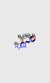 CC[C@H](C)[C@H](N)C(=O)NCCN1CCOCC1.CS(=O)(=O)O.CS(=O)(=O)O